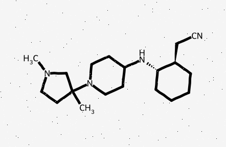 CN1CCC(C)(N2CCC(N[C@H]3CCCC[C@@H]3CC#N)CC2)C1